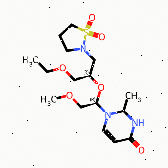 CCOC[C@@H](CN1CCCS1(=O)=O)O[C@H](COC)N1C=CC(=O)NC1C